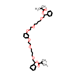 C=C(C)C(=O)OC(COCCCCOCCOc1cccc(OCCOCCCCOCC(OC(=O)C(=C)C)c2ccccc2)c1)c1ccccc1